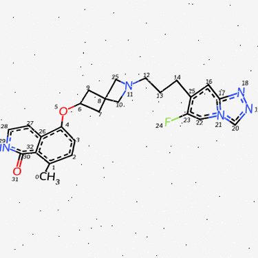 Cc1ccc(OC2CC3(C2)CN(CCCc2cc4nncn4cc2F)C3)c2cc[nH]c(=O)c12